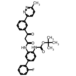 Cc1ccc(-c2cccc(C(=O)CC(=O)Nc3cc(-c4ccccc4F)ccc3NC(=O)OC(C)(C)C)c2)nn1